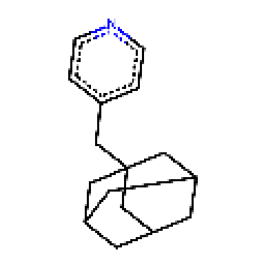 c1cc(CC23CC4CC(CC(C4)C2)C3)ccn1